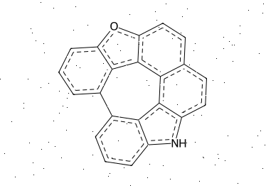 c1cc2c3c(c1)[nH]c1ccc4ccc5oc6cccc-2c6c5c4c13